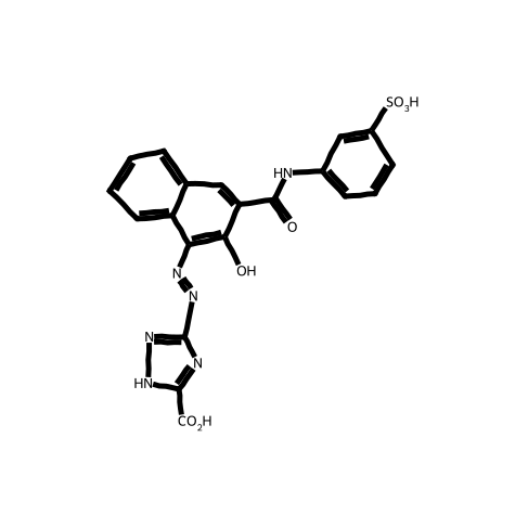 O=C(O)c1nc(N=Nc2c(O)c(C(=O)Nc3cccc(S(=O)(=O)O)c3)cc3ccccc23)n[nH]1